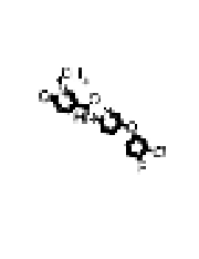 CCn1cc(C(=O)Nc2ccc(Oc3ccc(F)c(Cl)c3)cn2)ccc1=O